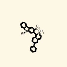 Cc1cc2c3ccccc3n(C(C)C)c2cc1-c1c2ccc(-c3ccccc3)cc2cc[n+]1C